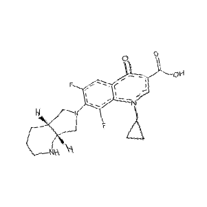 O=C(O)c1cn(C2CC2)c2c(F)c(N3C[C@H]4CCCN[C@H]4C3)c(F)cc2c1=O